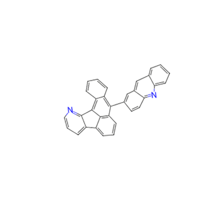 c1cnc2c(c1)-c1cccc3c(-c4ccc5nc6ccccc6cc5c4)c4ccccc4c-2c13